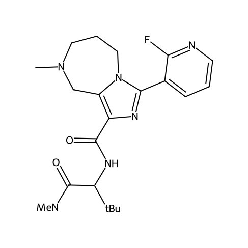 CNC(=O)C(NC(=O)c1nc(-c2cccnc2F)n2c1CN(C)CCC2)C(C)(C)C